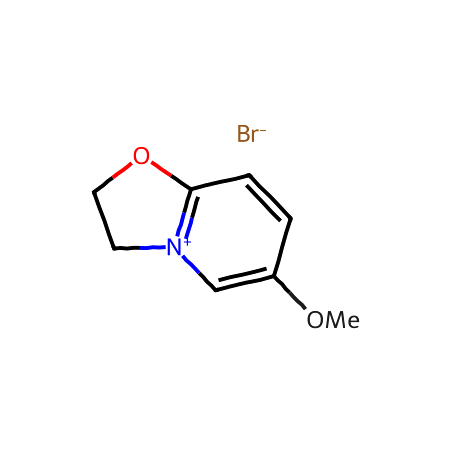 COc1ccc2[n+](c1)CCO2.[Br-]